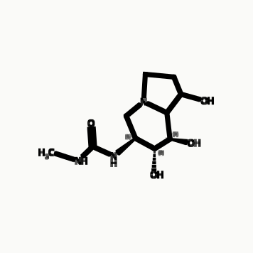 CNC(=O)N[C@H]1CN2CCC(O)C2[C@@H](O)[C@@H]1O